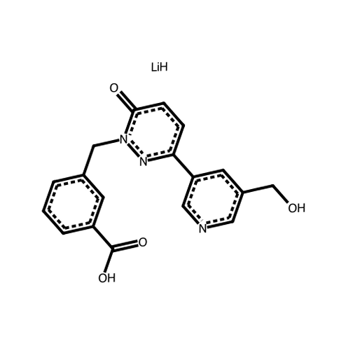 O=C(O)c1cccc(Cn2nc(-c3cncc(CO)c3)ccc2=O)c1.[LiH]